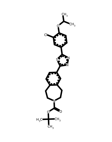 CC(C)Oc1ccc(-c2nnc(-c3ccc4c(c3)CCN(C(=O)OC(C)(C)C)CC4)s2)cc1Cl